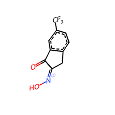 O=C1/C(=N\O)Cc2ccc(C(F)(F)F)cc21